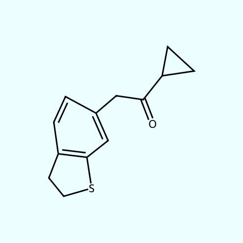 O=C(Cc1ccc2c(c1)SCC2)C1CC1